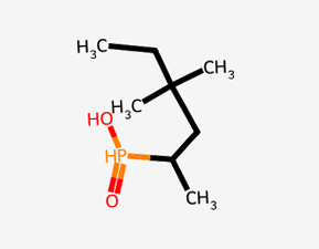 CCC(C)(C)CC(C)[PH](=O)O